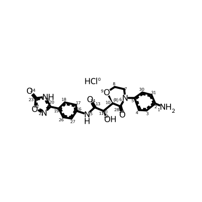 Cl.Nc1ccc(N2CCO[C@H]([C@@H](O)C(=O)Nc3ccc(-c4noc(=O)[nH]4)cc3)C2=O)cc1